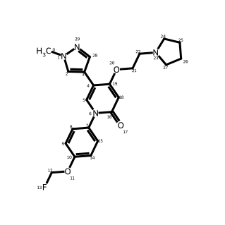 Cn1cc(-c2cn(-c3ccc(OCF)cc3)c(=O)cc2OCCN2CCCC2)cn1